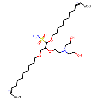 CCCCCCCC/C=C\CCCCCCCCOCC(OCCN(CCO)CCO)C(OCCCCCCCC/C=C\CCCCCCCC)S(N)(=O)=O